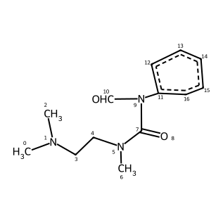 CN(C)CCN(C)C(=O)N(C=O)c1ccccc1